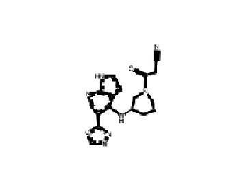 N#CCC(=O)N1CCC[C@@H](Nc2c(-c3nnco3)cnc3[nH]ccc23)C1